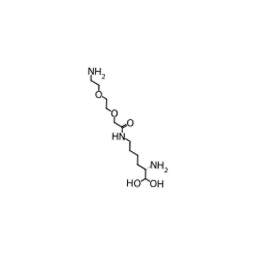 NCCOCCOCC(=O)NCCCC[C@H](N)C(O)O